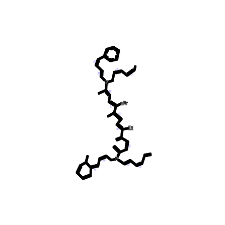 C=C/C=C\C=C\N(C/C=C\C=C1\C=CC=CC1C)C(=C)/C=C\C(=C)/C(=C/C=C(C)/C(=C/C=C(\C)N(/C=C/C=C\c1ccccc1)C/C=C\C=C/C)CCC)CC